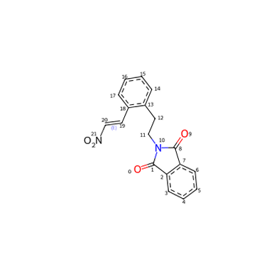 O=C1c2ccccc2C(=O)N1CCc1ccccc1/C=C/[N+](=O)[O-]